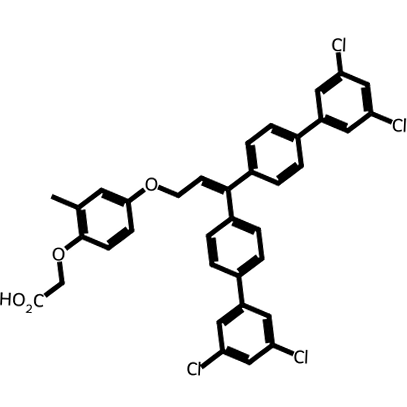 Cc1cc(OCC=C(c2ccc(-c3cc(Cl)cc(Cl)c3)cc2)c2ccc(-c3cc(Cl)cc(Cl)c3)cc2)ccc1OCC(=O)O